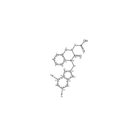 O=C(O)CC1Oc2ccccc2N(Cc2nc3cc(F)cc(F)c3s2)C1=O